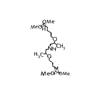 CO[SiH](CCCCOC(C)CNCC(C)OCCCC[SiH](OC)OC)OC